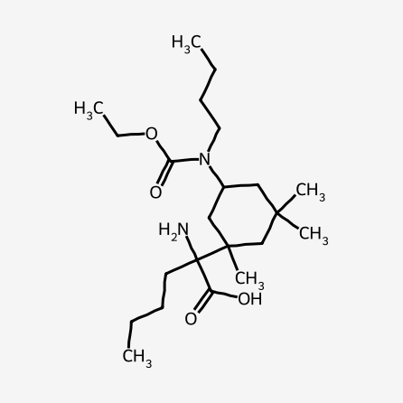 CCCCN(C(=O)OCC)C1CC(C)(C)CC(C)(C(N)(CCCC)C(=O)O)C1